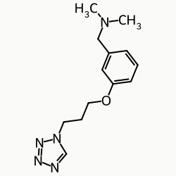 CN(C)Cc1cccc(OCCCn2cnnn2)c1